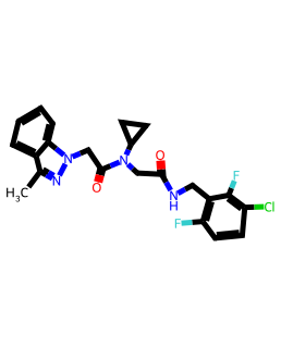 Cc1nn(CC(=O)N(CC(=O)NCc2c(F)ccc(Cl)c2F)C2CC2)c2ccccc12